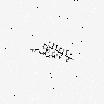 CCN(CCO)S(=O)(=O)C(F)(F)C(F)(F)C(F)(F)C(F)(F)C(F)(F)C(F)(F)C(F)(F)F